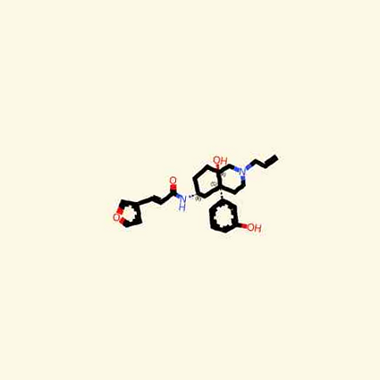 C=CCN1CC[C@@]2(c3cccc(O)c3)C[C@H](NC(=O)C=Cc3ccoc3)CC[C@]2(O)C1